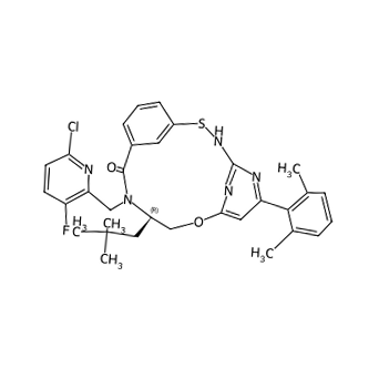 Cc1cccc(C)c1-c1cc2nc(n1)NSc1cccc(c1)C(=O)N(Cc1nc(Cl)ccc1F)[C@H](CC(C)(C)C)CO2